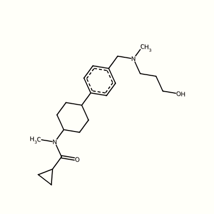 CN(CCCO)Cc1ccc(C2CCC(N(C)C(=O)C3CC3)CC2)cc1